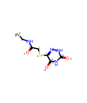 CC(C)CNC(=O)CSc1n[nH]c(=O)[nH]c1=O